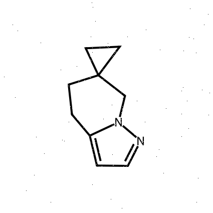 c1cc2n(n1)CC1(CC2)CC1